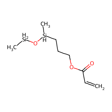 C=CC(=O)OCCC[SiH](C)O[SiH2]C